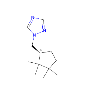 CC1(C)CC[C@H](Cn2cncn2)C1(C)C